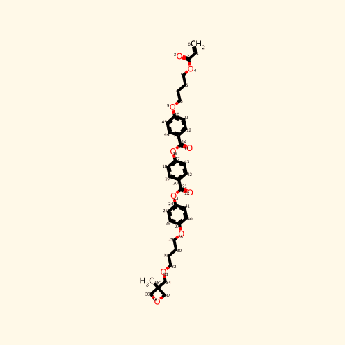 C=CC(=O)OCCCCOc1ccc(C(=O)Oc2ccc(C(=O)Oc3ccc(OCCCCOCC4(C)COC4)cc3)cc2)cc1